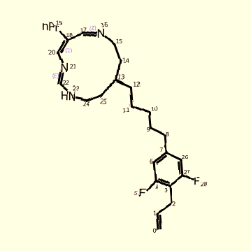 C=CCc1c(F)cc(CCCCCC2CC\N=C/C(CCC)=C\N=C\NCC2)cc1F